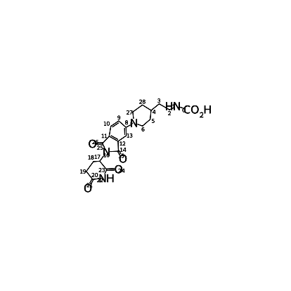 O=C(O)NCCC1CCN(c2ccc3c(c2)C(=O)N(C2CCC(=O)NC2=O)C3=O)CC1